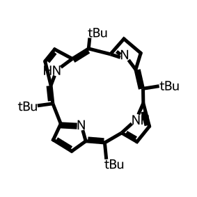 CC(C)(C)c1c2nc(c(C(C)(C)C)c3ccc([nH]3)c(C(C)(C)C)c3nc(c(C(C)(C)C)c4ccc1[nH]4)CC3)C=C2